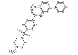 CN1CCN(S(=O)(=O)c2ccc(C(=O)Nc3cc(-c4ccccc4)ccc3N)cc2)CC1